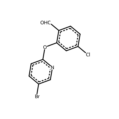 O=Cc1ccc(Cl)cc1Oc1ccc(Br)cn1